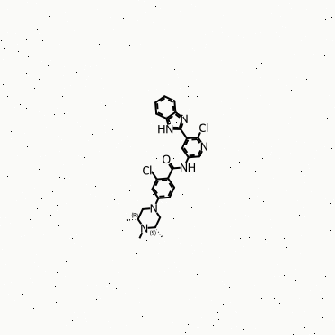 C[C@@H]1CN(c2ccc(C(=O)Nc3cnc(Cl)c(-c4nc5ccccc5[nH]4)c3)c(Cl)c2)C[C@H](C)N1C